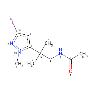 CC(=O)NCC(C)(C)c1cc(I)nn1C